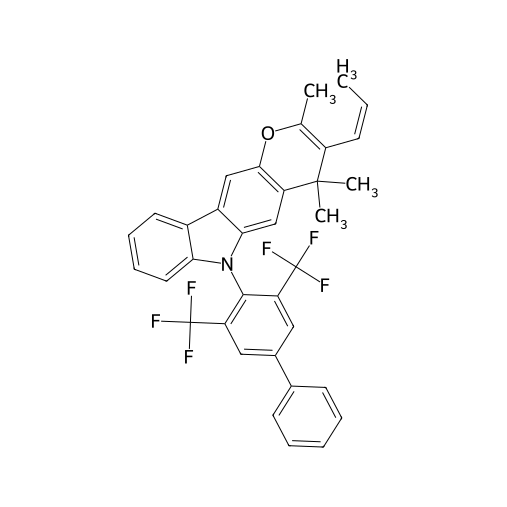 C/C=C\C1=C(C)Oc2cc3c4ccccc4n(-c4c(C(F)(F)F)cc(-c5ccccc5)cc4C(F)(F)F)c3cc2C1(C)C